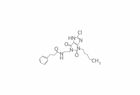 CCCCCn1c(=O)n(CCNC(=O)CCc2ccccc2)c(=O)c2[nH]c(Cl)nc21